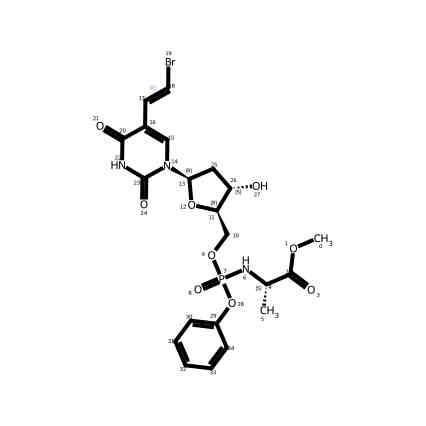 COC(=O)[C@H](C)NP(=O)(OC[C@H]1O[C@@H](n2cc(/C=C/Br)c(=O)[nH]c2=O)C[C@@H]1O)Oc1ccccc1